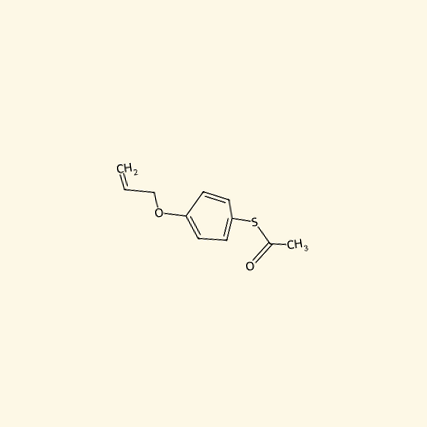 C=CCOc1ccc(SC(C)=O)cc1